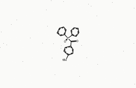 CC(C)(C)c1ccc(C(=O)P(=O)(c2ccccc2)c2ccccc2)cc1